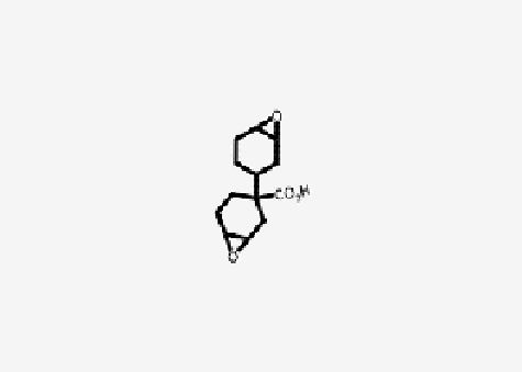 O=C(O)C1([C]2CCC3OC3C2)CCC2OC2C1